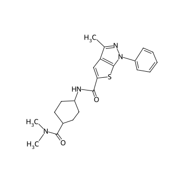 Cc1nn(-c2ccccc2)c2sc(C(=O)NC3CCC(C(=O)N(C)C)CC3)cc12